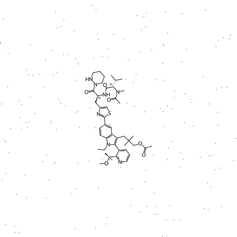 CCn1c(-c2cccnc2[C@H](C)OC)c(CC(C)(C)COC(C)=O)c2cc(-c3nc(C[C@H](NC(=O)[C@H](C(C)C)N(C)C(C)=O)C(=O)N4CCCCN4)cs3)ccc21